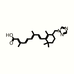 CC(C=CC1=C(C)C(Cn2cncn2)CCC1(C)C)=CC=CC(C)=CC(=O)O